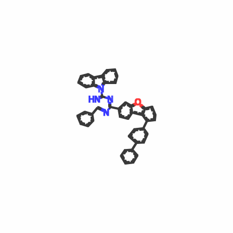 N=C(/N=C(\N=C\c1ccccc1)c1ccc2c(c1)oc1cccc(-c3ccc(-c4ccccc4)cc3)c12)n1c2ccccc2c2ccccc21